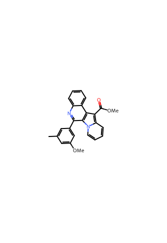 COC(=O)c1c2c3ccccc3nc(-c3cc(C)cc(OC)c3)c2n2ccccc12